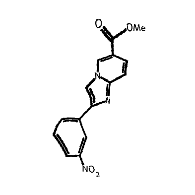 COC(=O)c1ccc2nc(-c3cccc([N+](=O)[O-])c3)cn2c1